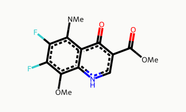 CNc1c(F)c(F)c(OC)c2[nH]cc(C(=O)OC)c(=O)c12